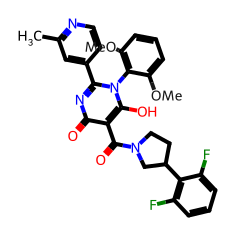 COc1cccc(OC)c1-n1c(-c2ccnc(C)c2)nc(=O)c(C(=O)N2CCC(c3c(F)cccc3F)C2)c1O